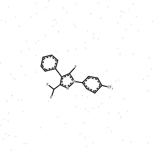 Fc1c(-c2ccccc2)c(C(F)F)nn1-c1ccc(C(F)(F)F)cc1